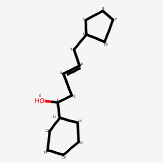 OC(CC=CCC1CCCC1)C1CCCCC1